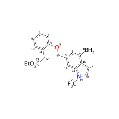 Bc1cc(COc2ccccc2CC(=O)OCC)cc2c1ccn2C(F)(F)F